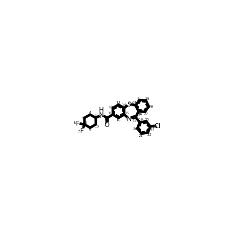 O=C(NC1CCC(F)(F)CC1)c1ccc2c(c1)N=C(c1cccc(Cl)c1)c1ccccc1S2